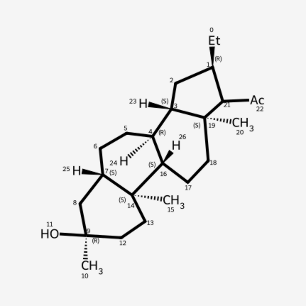 CC[C@@H]1C[C@H]2[C@@H]3CC[C@H]4C[C@](C)(O)CC[C@]4(C)[C@H]3CC[C@]2(C)C1C(C)=O